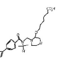 [2H]C(C)(C)N(CN1CCOCC1OCCCCCC(=O)O)C(=O)c1ccc(-c2ccco2)cc1